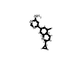 Cc1cc(-c2cc(N)ncn2)cc2nc(C3CC3)ccc12